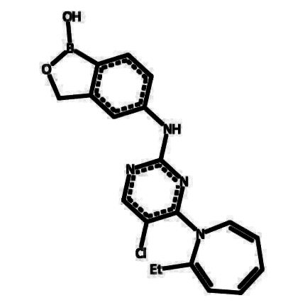 CCC1=CC=CC=CN1c1nc(Nc2ccc3c(c2)COB3O)ncc1Cl